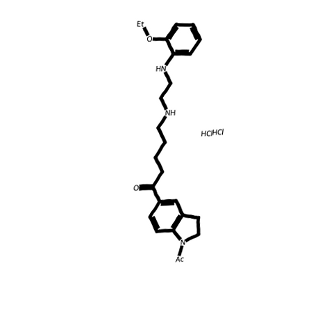 CCOc1ccccc1NCCNCCCCC(=O)c1ccc2c(c1)CCN2C(C)=O.Cl.Cl